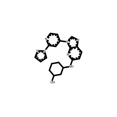 OC1CCCC(Nc2ccc3ncn(-c4ccnc(-n5cccn5)c4)c3n2)C1